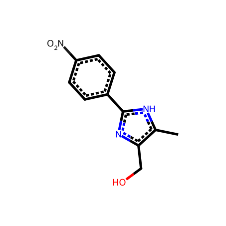 Cc1[nH]c(-c2ccc([N+](=O)[O-])cc2)nc1CO